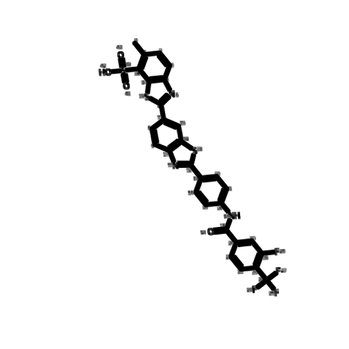 Cc1ccc2nc(-c3ccc4nc(-c5ccc(NC(=O)c6ccc(C(F)(F)F)c(F)c6)cc5)sc4c3)sc2c1S(=O)(=O)O